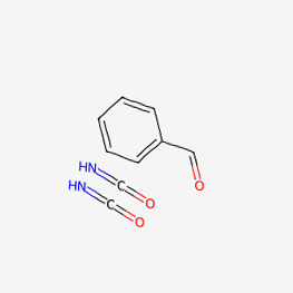 N=C=O.N=C=O.O=Cc1ccccc1